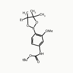 CCC1(C)OB(c2ccc(NC(=O)OC(C)(C)C)cc2OC)OC1(C)C